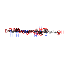 O=C(O)CCCCCCCCCCC(=O)N[C@@H](CCC(=O)N[C@@H](CCC(=O)NCCOCCOCC(=O)NCCOCCOCC(=O)NC(CCCCNC(=O)CBr)C(=O)O)C(=O)O)C(=O)O